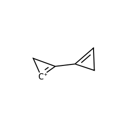 [C+]1=C(C2=CC2)C1